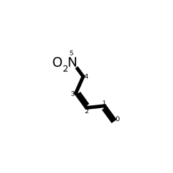 C=C/C=C\C[N+](=O)[O-]